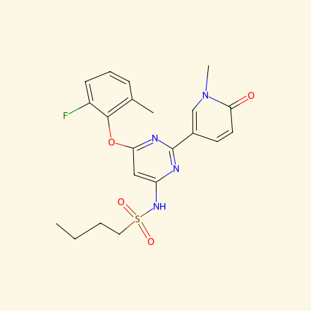 CCCCS(=O)(=O)Nc1cc(Oc2c(C)cccc2F)nc(-c2ccc(=O)n(C)c2)n1